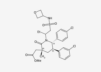 CCC(CS(=O)(=O)NC1COC1)N1C(=O)[C@@](C)(CC(=O)OC)C[C@H](c2cccc(Cl)c2)[C@H]1c1ccc(Cl)cc1